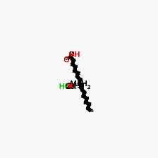 CCCCCCCCCCCCCCCCCC(=O)O.Cl.[CaH2].[MgH2]